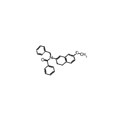 COc1ccc2c(c1)C=C(N(Cc1ccccc1)C(=O)c1ccccc1)CC2